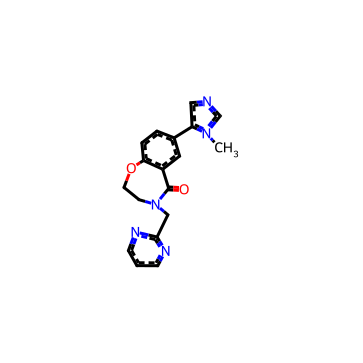 Cn1cncc1-c1ccc2c(c1)C(=O)N(Cc1ncccn1)CCO2